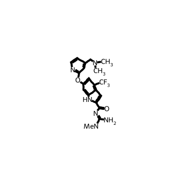 CNC(N)=NC(=O)c1cc2c(C(F)(F)F)cc(Oc3cc(CN(C)C)ccn3)cc2[nH]1